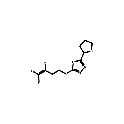 FC(F)=C(F)CCSc1nnc(C2CCCO2)o1